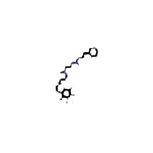 C/C(=C\CC/C(C)=C/CC[C@]1(C)CCc2c(C)c(O)c(C)c(C)c2O1)CCC=C1CCCCC1